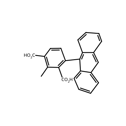 Cc1c(C(=O)O)ccc(-c2c3ccccc3cc3ccccc23)c1C(=O)O